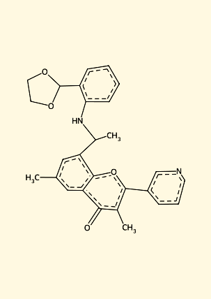 Cc1cc(C(C)Nc2ccccc2C2OCCO2)c2oc(-c3cccnc3)c(C)c(=O)c2c1